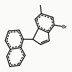 Cc1cc(Br)c2c(c1)C(c1cccc3ccccc13)C=C2